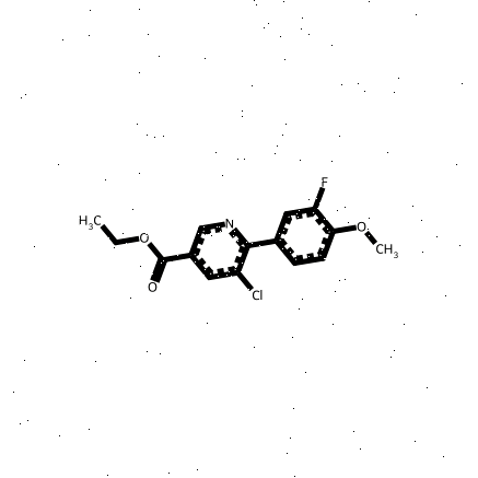 CCOC(=O)c1cnc(-c2ccc(OC)c(F)c2)c(Cl)c1